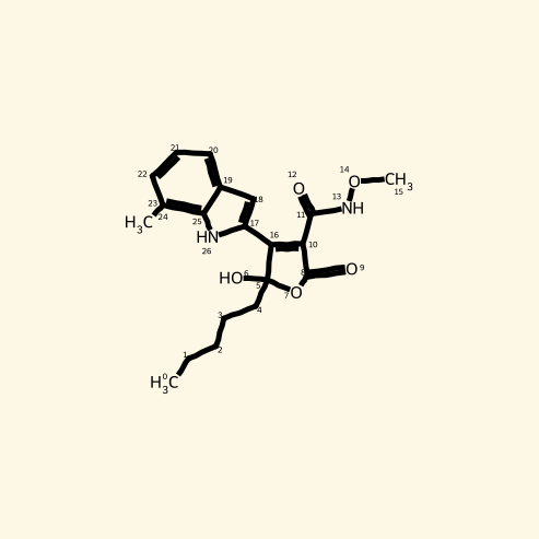 CCCCCC1(O)OC(=O)C(C(=O)NOC)=C1c1cc2cccc(C)c2[nH]1